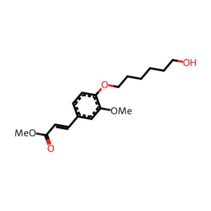 COC(=O)C=Cc1ccc(OCCCCCCO)c(OC)c1